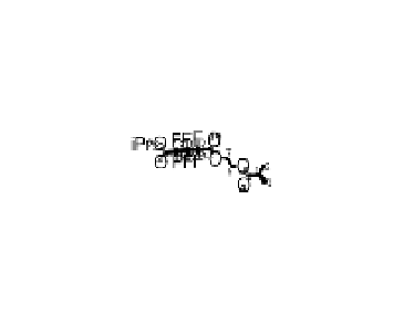 C=C(C)C(=O)OCCOC(=O)C(F)(F)C(F)(F)C(F)(F)C(=O)OC(C)C